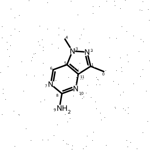 Cc1nn(C)c2cnc(N)nc12